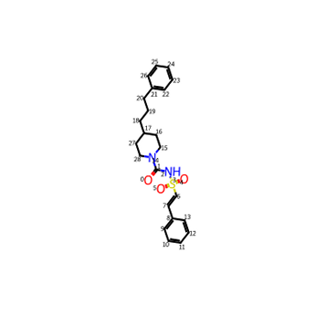 O=C(NS(=O)(=O)C=Cc1ccccc1)N1CCC(CCCc2ccccc2)CC1